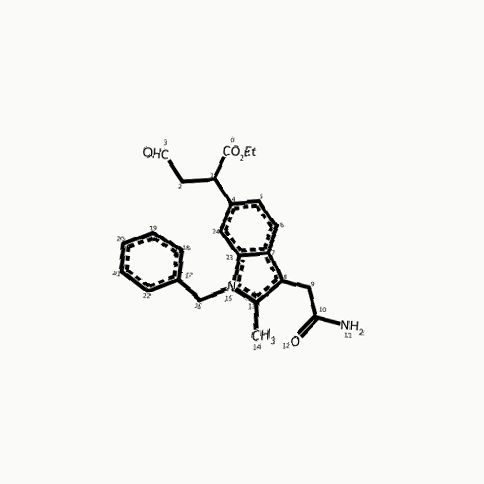 CCOC(=O)C(CC=O)c1ccc2c(CC(N)=O)c(C)n(Cc3ccccc3)c2c1